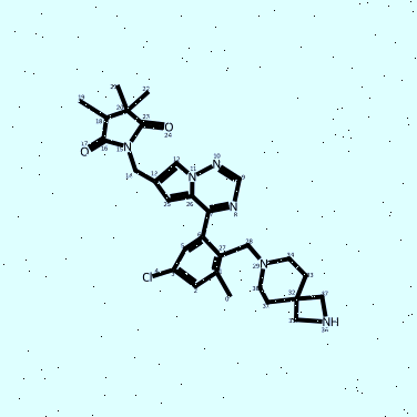 Cc1cc(Cl)cc(-c2ncnn3cc(CN4C(=O)C(C)C(C)(C)C4=O)cc23)c1CN1CCC2(CC1)CNC2